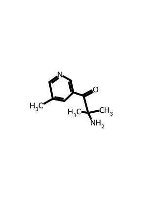 Cc1cncc(C(=O)C(C)(C)N)c1